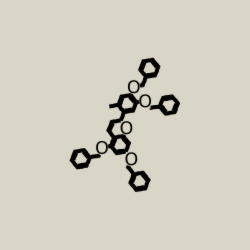 Cc1cc(OCc2ccccc2)c(OCc2ccccc2)cc1C1C=Cc2c(OCc3ccccc3)cc(OCc3ccccc3)cc2O1